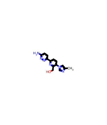 Cc1cn(-c2ccc(-c3ccc(N)nn3)nc2CO)cn1